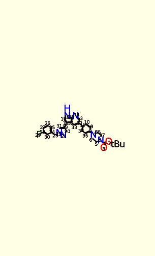 CC(C)(C)OC(=O)N1CCN(c2ccc(-c3cnc4[nH]cc(-c5cnn(Cc6cccc(F)c6)c5)c4c3)cc2)CC1